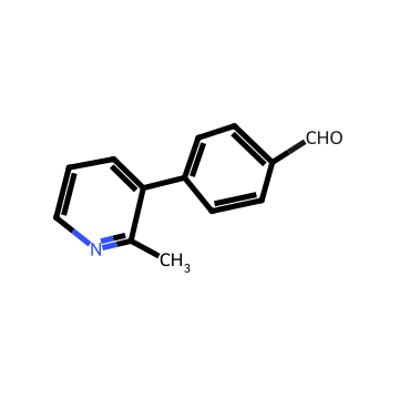 Cc1ncccc1-c1ccc(C=O)cc1